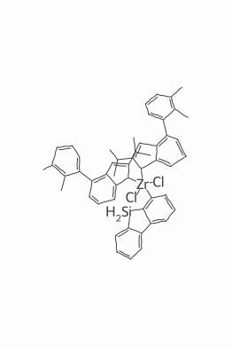 Cc1cccc(-c2cccc3c2C=C(C(C)C)[CH]3[Zr]([Cl])([Cl])([c]2cccc3c2[SiH2]c2ccccc2-3)[CH]2C(C(C)C)=Cc3c(-c4cccc(C)c4C)cccc32)c1C